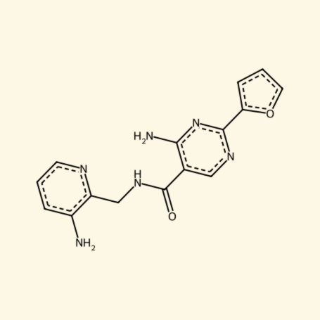 Nc1cccnc1CNC(=O)c1cnc(-c2ccco2)nc1N